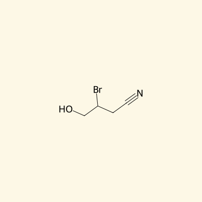 N#CCC(Br)CO